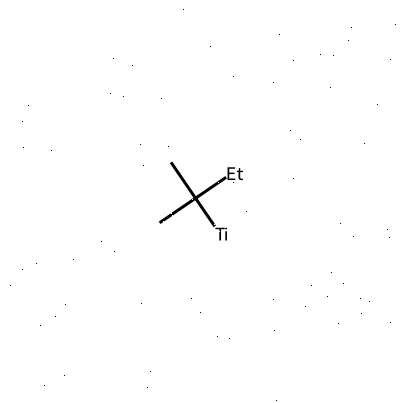 CC[C](C)(C)[Ti]